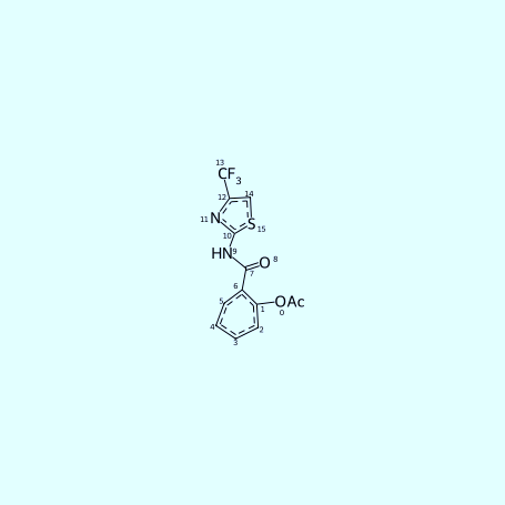 CC(=O)Oc1ccccc1C(=O)Nc1nc(C(F)(F)F)cs1